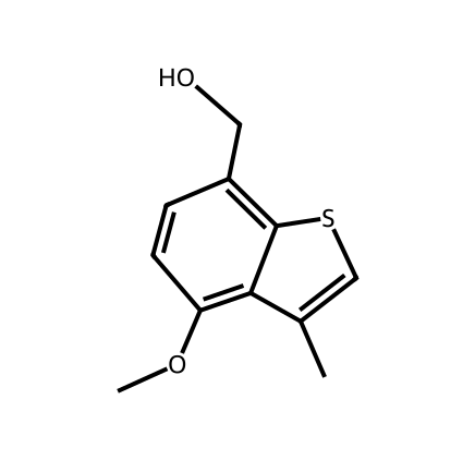 COc1ccc(CO)c2scc(C)c12